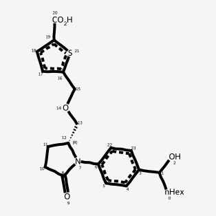 CCCCCCC(O)c1ccc(N2C(=O)CC[C@@H]2COCc2ccc(C(=O)O)s2)cc1